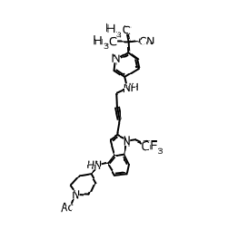 CC(=O)N1CCC(Nc2cccc3c2cc(C#CCNc2ccc(C(C)(C)C#N)nc2)n3CC(F)(F)F)CC1